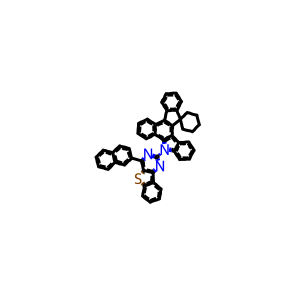 c1ccc2c(c1)-c1c(c3c4ccccc4n(-c4nc(-c5ccc6ccccc6c5)c5sc6ccccc6c5n4)c3c3ccccc13)C21CCCCC1